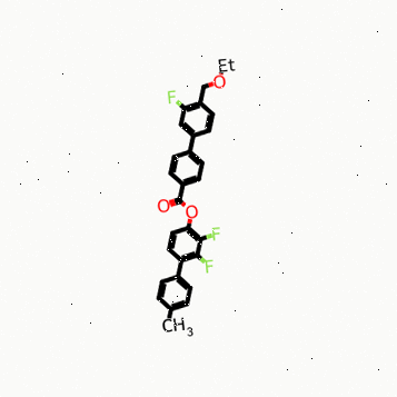 CCOCc1ccc(-c2ccc(C(=O)Oc3ccc(-c4ccc(C)cc4)c(F)c3F)cc2)cc1F